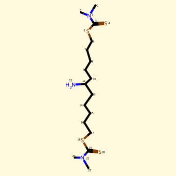 CN(C)C(=S)SCCCCCC(N)CCCCCSC(=S)N(C)C